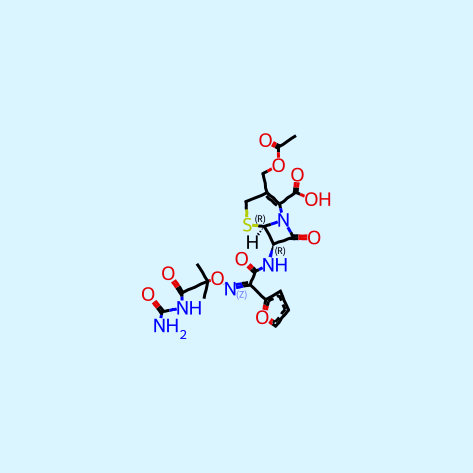 CC(=O)OCC1=C(C(=O)O)N2C(=O)[C@@H](NC(=O)/C(=N\OC(C)(C)C(=O)NC(N)=O)c3ccco3)[C@H]2SC1